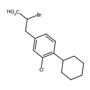 O=C(O)C(Br)Cc1ccc(C2CCCCC2)c(Cl)c1